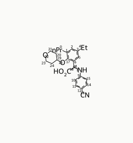 CCCc1cc(CC)cc([C@@H](Nc2ccc(C#N)cc2)C(=O)O)c1OC1CCOCC1